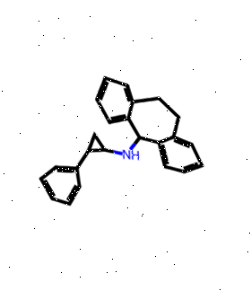 c1ccc(C2CC2NC2c3ccccc3CCc3ccccc32)cc1